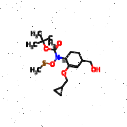 CSON(C(=O)OC(C)(C)C)[C@H]1CCC(CO)C=C1OCC1CC1